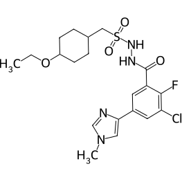 CCOC1CCC(CS(=O)(=O)NNC(=O)c2cc(-c3cn(C)cn3)cc(Cl)c2F)CC1